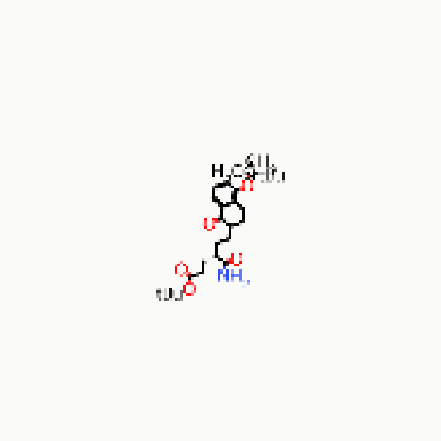 CC(C)(C)OC(=O)CC[C@H](CCC1CCc2c(O[Si](C)(C)C(C)(C)C)cccc2C1=O)C(N)=O